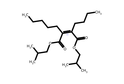 CCCCC/C(C(=O)OCC(C)C)=C(\CCCC)C(=O)OCC(C)C